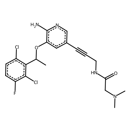 CC(Oc1cc(C#CCNC(=O)CN(C)C)cnc1N)c1c(Cl)ccc(F)c1Cl